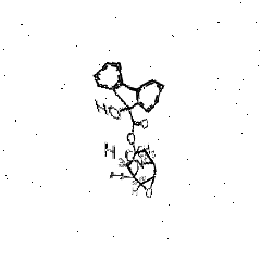 C[N+]1(C)C2CC(OC(=O)C3(O)c4ccccc4-c4ccccc43)C[C@H]1[C@H]1OC21